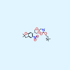 CN(C[C@H]1OC[C@H](c2cc3c(cc2[N+](=O)[O-])CC(C)(C)O3)CO1)C(=O)OCC[Si](C)(C)C